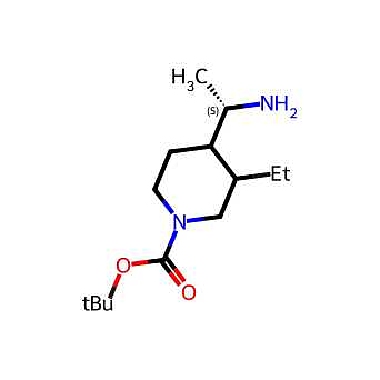 CCC1CN(C(=O)OC(C)(C)C)CCC1[C@H](C)N